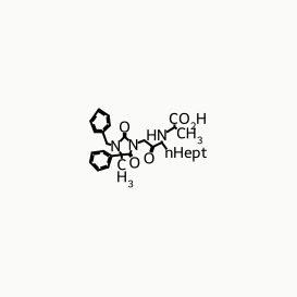 CCCCCCCC(NC(C)C(=O)O)C(=O)CN1C(=O)N(Cc2ccccc2)C(C)(c2ccccc2)C1=O